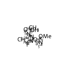 CO[C@H]1CN2CCC[C@@]2(COc2nc(N3CCOCC(C)(O)C3)c3cc(Cl)cc(F)c3n2)C1